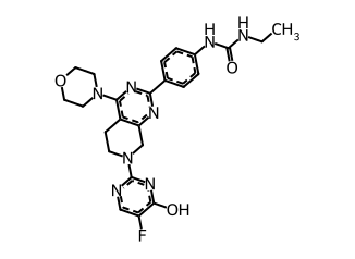 CCNC(=O)Nc1ccc(-c2nc3c(c(N4CCOCC4)n2)CCN(c2ncc(F)c(O)n2)C3)cc1